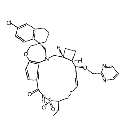 CC[C@@H]1CC/C=C/[C@H](OCc2ncccn2)[C@@H]2CC[C@H]2CN2C[C@@]3(CCCc4cc(Cl)ccc43)COc3ccc(cc32)C(=O)NS1(=O)=O